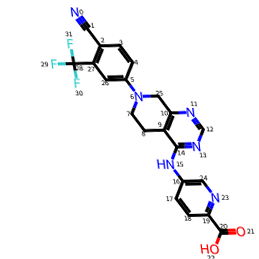 N#Cc1ccc(N2CCc3c(ncnc3Nc3ccc(C(=O)O)nc3)C2)cc1C(F)(F)F